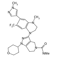 CNC(=O)N1CCc2c(c(N3CCN(C)c4cc(-c5cnn(C)c5)c(C(F)(F)F)cc43)nn2C2CCOCC2)C1